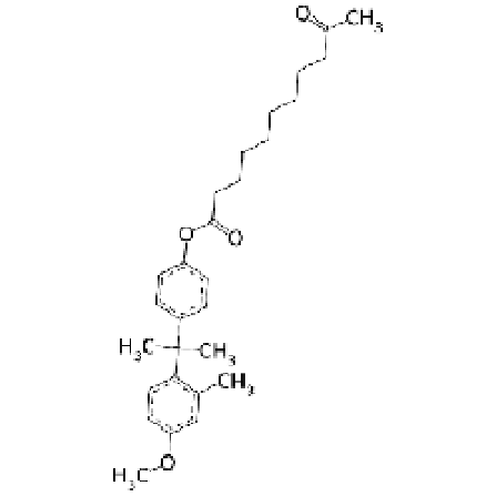 COc1ccc(C(C)(C)c2ccc(OC(=O)CCCCCCCCC(C)=O)cc2)c(C)c1